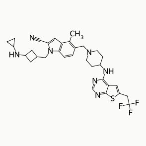 Cc1c(CN2CCC(Nc3ncnc4sc(CC(F)(F)F)cc34)CC2)ccc2c1cc(C#N)n2CC1CC(NC2CC2)C1